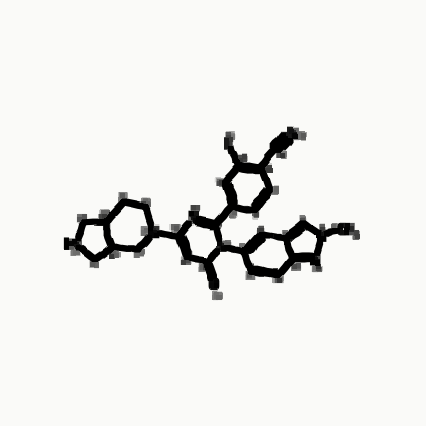 Cn1cc2cc(-n3c(-c4ccc(C#N)c(F)c4)nc(N4CCC5CNCC5C4)cc3=O)ccc2n1